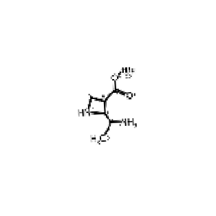 CC(N)C1NCC1C(=O)OC(C)(C)C